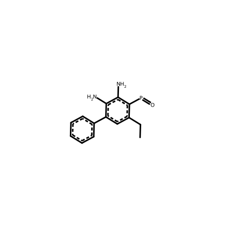 CCc1cc(-c2ccccc2)c(N)c(N)c1P=O